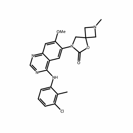 COc1cc2ncnc(Nc3cccc(Cl)c3C)c2cc1N1CC2(CN(C)C2)OC1=O